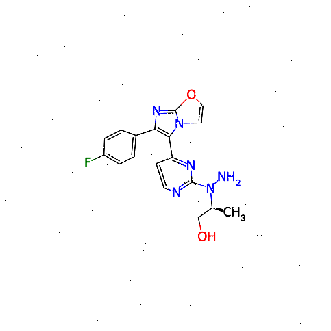 C[C@@H](CO)N(N)c1nccc(-c2c(-c3ccc(F)cc3)nc3occn23)n1